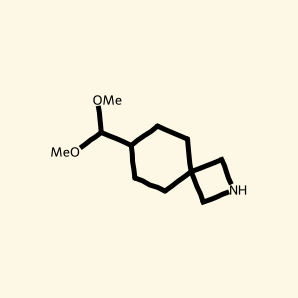 COC(OC)C1CCC2(CC1)CNC2